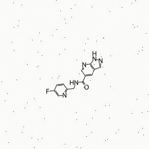 O=C(NCc1ccc(F)cn1)c1cnc2[nH]ncc2c1